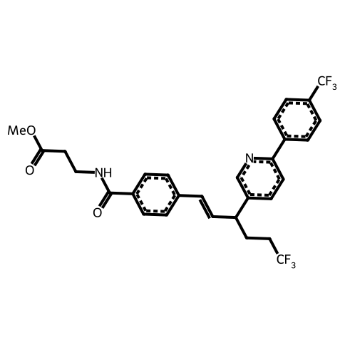 COC(=O)CCNC(=O)c1ccc(C=CC(CCC(F)(F)F)c2ccc(-c3ccc(C(F)(F)F)cc3)nc2)cc1